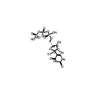 CC[C@@]1(c2c[nH]c(=O)[nH]c2=O)O[C@H](COP(=O)(O)OP(=O)(O)OP(=O)(O)O)[C@@H](O)[C@H]1O